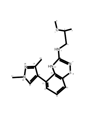 COC(C)CNC1=NSc2cccc(-c3cn(C)nc3C)c2N1